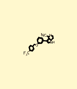 N#Cc1nccc2[nH]cc(-c3cccc(OCc4ccc(C(F)(F)F)cc4)c3)c12